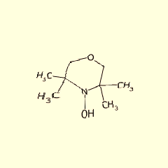 CC1(C)COCC(C)(C)N1O